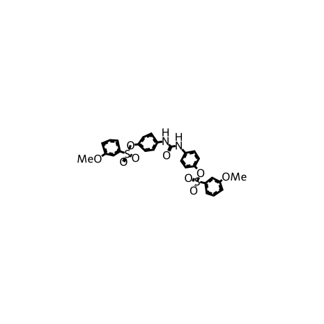 COc1cccc(S(=O)(=O)Oc2ccc(NC(=O)Nc3ccc(OS(=O)(=O)c4cccc(OC)c4)cc3)cc2)c1